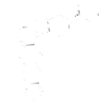 CC(C)NC(=O)[C@H]1CCc2c(sc3ncnc(Nc4cc5ccnn5cc4Cl)c23)C1